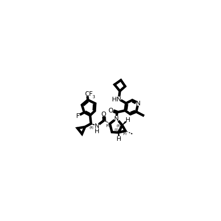 Cc1cc(C(=O)N2[C@@H]3[C@H](C)[C@@H]3C[C@@H]2C(=O)N[C@@H](c2ccc(C(F)(F)F)cc2F)C2CC2)c(NC2CCC2)cn1